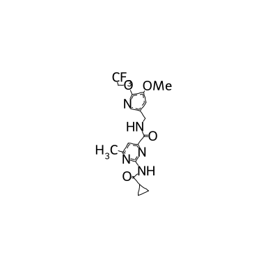 COc1cc(CNC(=O)c2cc(C)nc(NC(=O)C3CC3)n2)cnc1OCC(F)(F)F